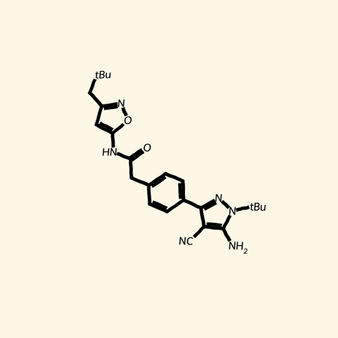 CC(C)(C)Cc1cc(NC(=O)Cc2ccc(-c3nn(C(C)(C)C)c(N)c3C#N)cc2)on1